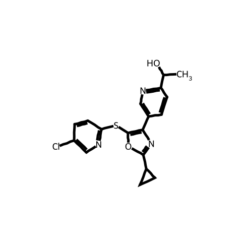 CC(O)c1ccc(-c2nc(C3CC3)oc2Sc2ccc(Cl)cn2)cn1